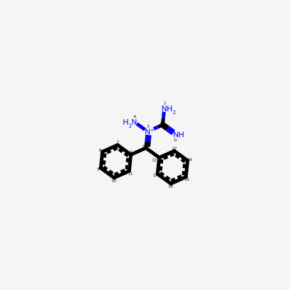 N=C(N)[N+](N)=C(c1ccccc1)c1ccccc1